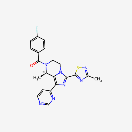 Cc1nsc(-c2nc(-c3ccncn3)c3n2CCN(C(=O)c2ccc(F)cc2)[C@@H]3C)n1